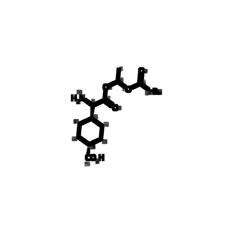 CCCCC(=O)OC(C)OC(=O)C(N)[C@H]1CC[C@H](C(=O)O)CC1